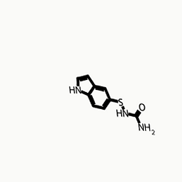 NC(=O)NSc1ccc2[nH]ccc2c1